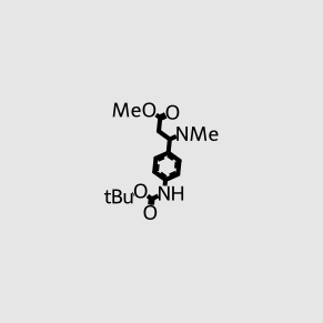 CNC(CC(=O)OC)c1ccc(NC(=O)OC(C)(C)C)cc1